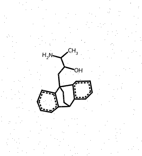 CC(N)C(O)CC12CCC(c3ccccc31)c1ccccc12